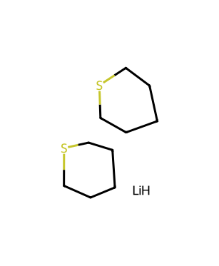 C1CCSCC1.C1CCSCC1.[LiH]